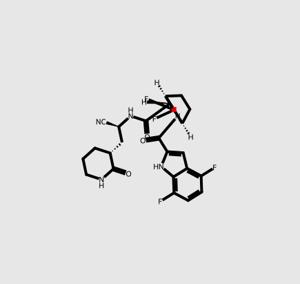 N#C[C@H](C[C@H]1CCCNC1=O)NC(=O)[C@@H]1[C@H]2CC[C@H](CC2(F)F)N1C(=O)c1cc2c(F)ccc(F)c2[nH]1